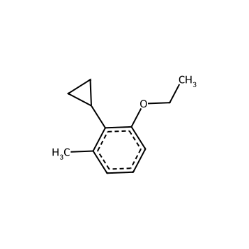 CCOc1cccc(C)c1C1CC1